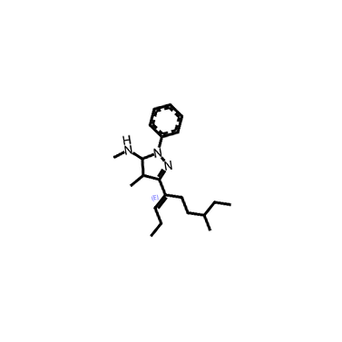 CC/C=C(\CCC(C)CC)C1=NN(c2ccccc2)C(NC)C1C